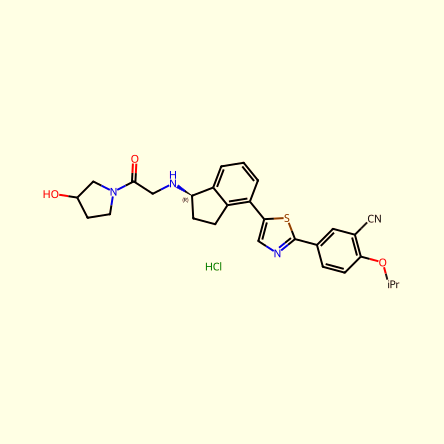 CC(C)Oc1ccc(-c2ncc(-c3cccc4c3CC[C@H]4NCC(=O)N3CCC(O)C3)s2)cc1C#N.Cl